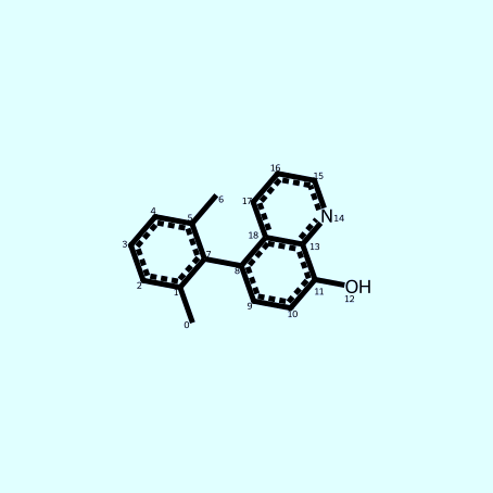 Cc1cccc(C)c1-c1ccc(O)c2ncccc12